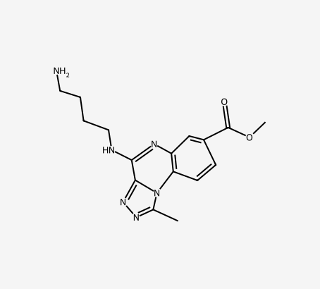 COC(=O)c1ccc2c(c1)nc(NCCCCN)c1nnc(C)n12